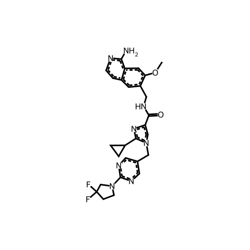 COc1cc2c(N)nccc2cc1CNC(=O)c1cn(Cc2cnc(N3CCC(F)(F)C3)nc2)c(C2CC2)n1